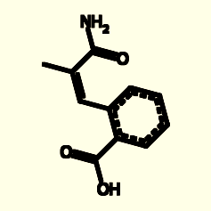 CC(=Cc1ccccc1C(=O)O)C(N)=O